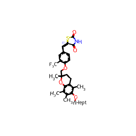 CCCCCCCOc1c(C)c(C)c2c(c1C)CCC(C)(COc1ccc(/C=C3/SC(=O)NC3=O)cc1C(F)(F)F)O2